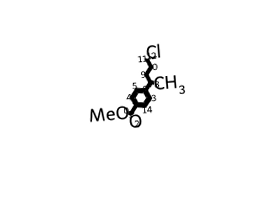 COC(=O)c1ccc(C(C)CCCCl)cc1